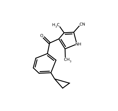 Cc1[nH]c(C#N)c(C)c1C(=O)c1cccc(C2CC2)c1